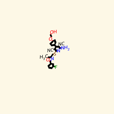 [C-]#[N+]c1c(N)nc(SCc2nc(-c3cccc(F)c3)oc2C)c(C#N)c1-c1ccc(OCCO)cc1